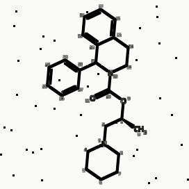 C[C@@H](CN1CCCCC1)OC(=O)N1CCc2ccccc2C1c1ccccc1